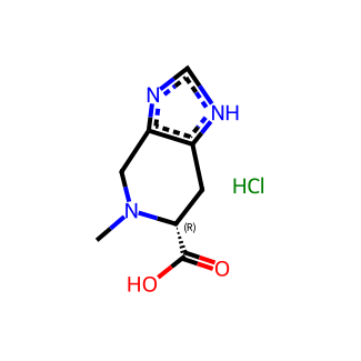 CN1Cc2nc[nH]c2C[C@@H]1C(=O)O.Cl